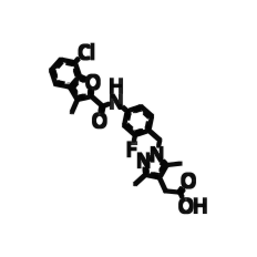 Cc1nn(Cc2ccc(NC(=O)c3oc4c(Cl)cccc4c3C)cc2F)c(C)c1CC(=O)O